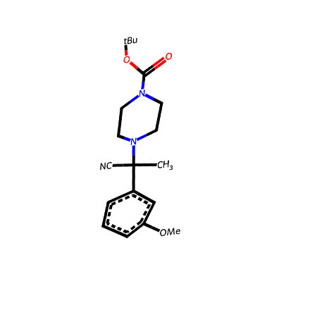 COc1cccc(C(C)(C#N)N2CCN(C(=O)OC(C)(C)C)CC2)c1